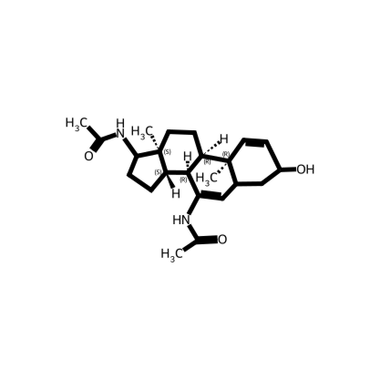 CC(=O)NC1=CC2CC(O)C=C[C@]2(C)[C@@H]2CC[C@]3(C)C(NC(C)=O)CC[C@H]3[C@H]12